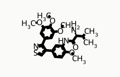 COc1ccc(-c2csnc2-c2cc(OC)c(OC)c(OC)c2)cc1NC(=O)[C@@H](N)C(C)C